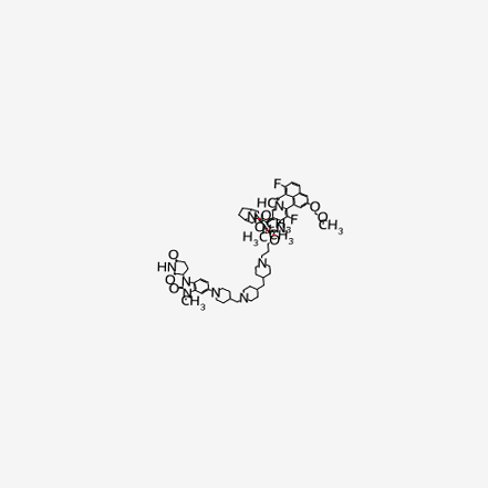 C#Cc1c(F)ccc2cc(OCOC)cc(-c3ncc4c(N5CC6CCC(C5)N6C(=O)OC(C)(C)C)nc(OCCCN5CCC(CC6CCN(CC7CCN(c8ccc9c(c8)n(C)c(=O)n9C8CCC(=O)NC8=O)CC7)CC6)CC5)nc4c3F)c12